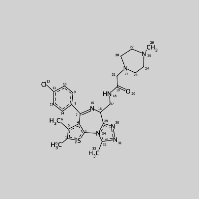 Cc1sc2c(c1C)C(c1ccc(Cl)cc1)=NC(CNC(=O)CN1CCN(C)CC1)c1nnc(C)n1-2